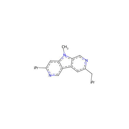 CC(C)Cc1cc2c3cnc(C(C)C)cc3n(C)c2cn1